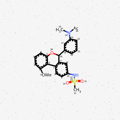 COc1cccc2c1-c1ccc(NS(C)(=O)=O)cc1C(c1cccc(N(C)C(C)=O)c1)O2